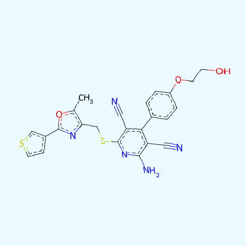 Cc1oc(-c2ccsc2)nc1CSc1nc(N)c(C#N)c(-c2ccc(OCCO)cc2)c1C#N